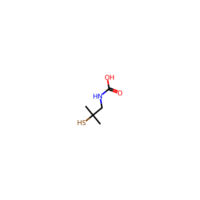 CC(C)(S)CNC(=O)O